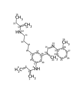 C=CC(=C)Nc1cc(CCCCNC(=C)CC)cc(C(=C)/C=N\c2ccccc2C)c1